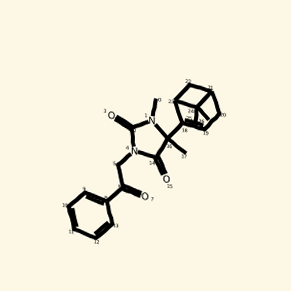 CN1C(=O)N(CC(=O)c2ccccc2)C(=O)C1(C)C1=CCC2CC1C2(C)C